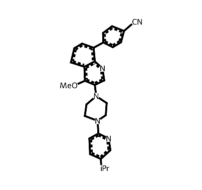 COc1c(N2CCN(c3ccc(C(C)C)cn3)CC2)cnc2c(-c3ccc(C#N)cc3)cccc12